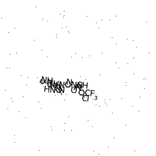 Cc1cc(Nc2cc(-c3ccc[nH]3)n[nH]2)nc(Nc2ccc(NC(=O)N(S)c3ccc(Cl)c(C(F)(F)F)c3)nc2)n1